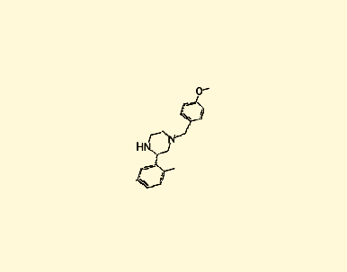 COc1ccc(CN2CCNC(c3ccccc3C)C2)cc1